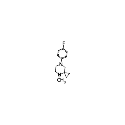 CN1CCN(c2ccc(F)cc2)CC12CC2